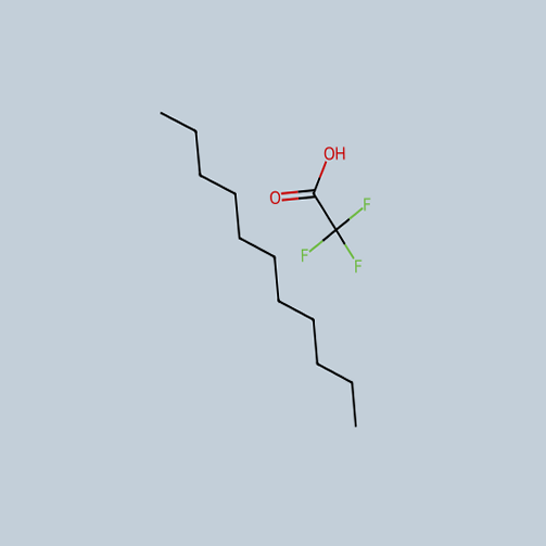 CCCCCCCCCCC.O=C(O)C(F)(F)F